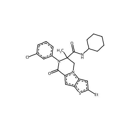 CCc1cc2c(cc3n2CC(C)(C(=O)NC2CCCCC2)N(c2cccc(Cl)c2)C3=O)s1